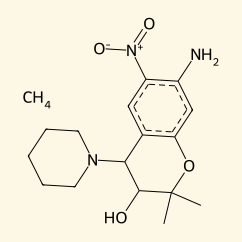 C.CC1(C)Oc2cc(N)c([N+](=O)[O-])cc2C(N2CCCCC2)C1O